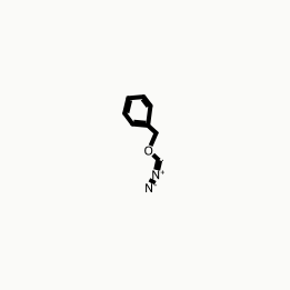 [N-]=[N+]=[C]OCc1ccccc1